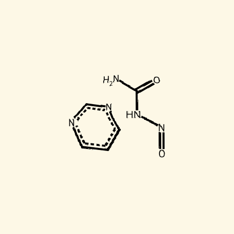 NC(=O)NN=O.c1cncnc1